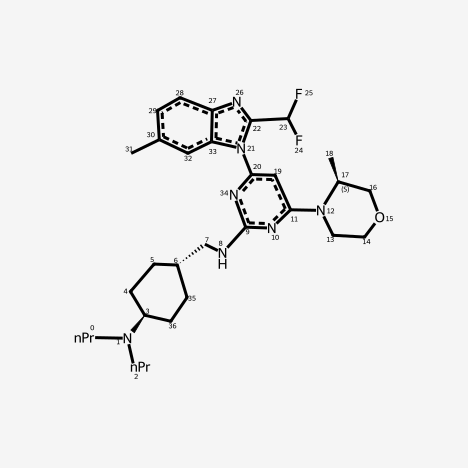 CCCN(CCC)[C@H]1CC[C@H](CNc2nc(N3CCOC[C@@H]3C)cc(-n3c(C(F)F)nc4ccc(C)cc43)n2)CC1